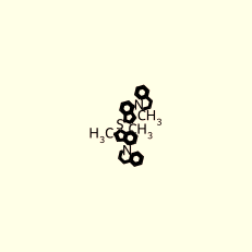 CC1=Cc2c(cccc2N2CCCc3ccccc32)C1SC1C(C)=Cc2c1cccc2N1c2ccccc2CCC1C